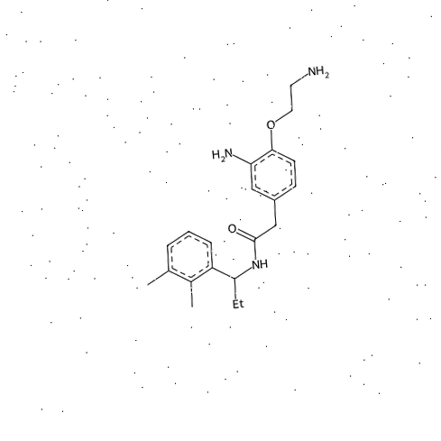 CCC(NC(=O)Cc1ccc(OCCN)c(N)c1)c1cccc(C)c1C